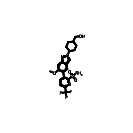 COc1cc2nn(C3CCC(CO)CC3)cc2cc1-c1ccc(C(F)(F)F)nc1S(N)(=O)=O